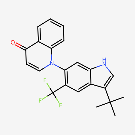 CC(C)(C)c1c[nH]c2cc(-n3ccc(=O)c4ccccc43)c(C(F)(F)F)cc12